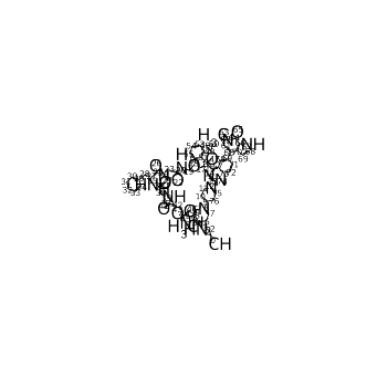 C#CCNC1(C)CCN(C2CCN(c3nc([C@@](COCNC(=O)CNC(=O)[C@H](Cc4ccccc4)NC(=O)CNC(=O)COC(N)=O)(OC4CC4)c4ccccc4)c4cc(-c5cn(C)c(=O)c6[nH]ccc56)ccc4n3)CC2)CC1